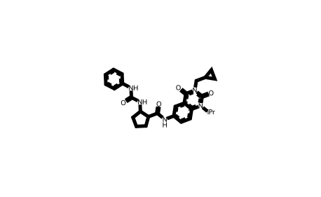 CC(C)n1c(=O)n(CC2CC2)c(=O)c2cc(NC(=O)C3CCCC3NC(=O)Nc3ccccc3)ccc21